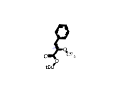 CC(C)(C)OC(=O)/C(=C/c1ccccc1)OC(F)(F)F